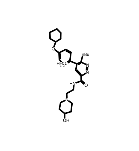 C=C(/C=C\C(=C/C)OC1CCCCC1)c1cc(C(=O)NCCN2CCC(O)CC2)nnc1CCCC